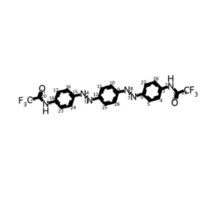 O=C(Nc1ccc(N=Nc2ccc(N=Nc3ccc(NC(=O)C(F)(F)F)cc3)cc2)cc1)C(F)(F)F